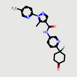 Cc1c(C(=O)Nc2ccc(C3(F)CCC(=O)CC3)nc2)cnn1-c1ccc(C(F)(F)F)cn1